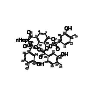 CCCCCCCC(=O)c1ccc(OS(=O)(=O)c2ccc(C)c(O)c2)c(OS(=O)(=O)c2ccc(C)c(O)c2)c1OS(=O)(=O)c1ccc(C)c(O)c1